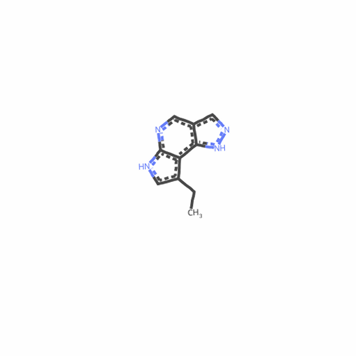 CCc1c[nH]c2ncc3cn[nH]c3c12